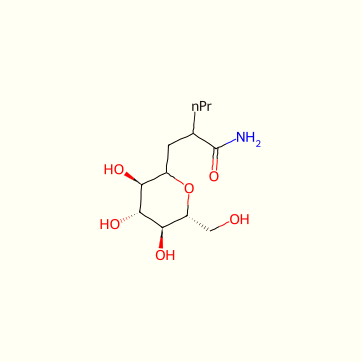 CCCC(CC1O[C@H](CO)[C@@H](O)[C@H](O)[C@H]1O)C(N)=O